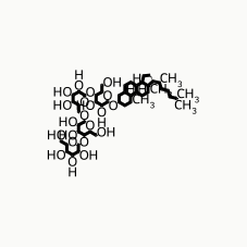 CC(C)CCC[C@@H](C)[C@H]1CC[C@H]2[C@@H]3CC=C4C[C@@H](O[C@@H]5OC(CO)[C@@H](O[C@H]6OC(CO[C@@H]7OC(CO)[C@@H](O[C@H]8OC(CO)[C@@H](O)C(O)C8O)C(O)C7O)[C@@H](O)C(O)C6O)C(O)C5O)CC[C@]4(C)[C@H]3CC[C@]12C